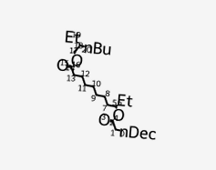 CCCCCCCCCCCC(=O)OC(CC)CCCCCCCC(=O)OCC(CC)CCCC